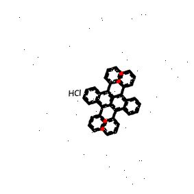 Cl.c1ccc(-c2c3ccccc3c(-c3ccccc3)c3c(-c4ccccc4)c4ccccc4c(-c4ccccc4)c23)cc1